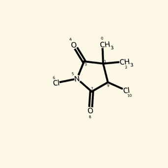 CC1(C)C(=O)N(Cl)C(=O)C1Cl